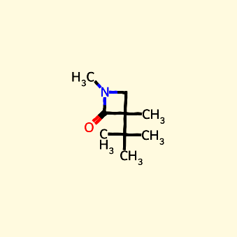 CN1CC(C)(C(C)(C)C)C1=O